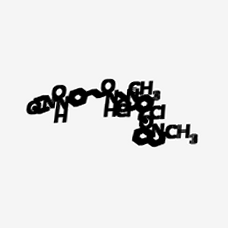 Cc1ccc2cccc(OCc3c(Cl)ccc(N(C)C(=O)CNC(=O)C=Cc4ccc(NC(=O)N5CCOCC5)cc4)c3Cl)c2n1